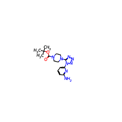 CC(C)(C)OC(=O)N1CCN(c2nnnn2-c2cccc(N)n2)CC1